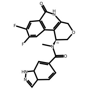 CN(C(=O)C1=CC2NN=CC2C=C1)[C@@H]1COCc2[nH]c(=O)c3cc(F)c(F)cc3c21